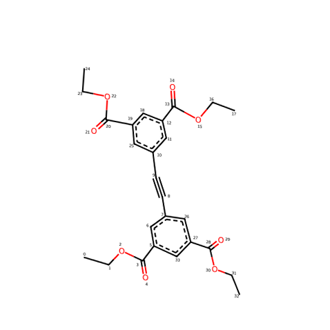 CCOC(=O)c1cc(C#Cc2cc(C(=O)OCC)cc(C(=O)OCC)c2)cc(C(=O)OCC)c1